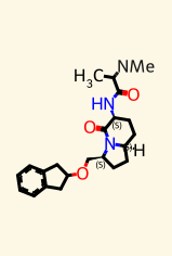 CNC(C)C(=O)N[C@H]1CC[C@H]2CC[C@@H](COC3Cc4ccccc4C3)N2C1=O